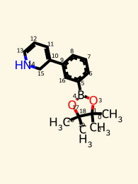 CC1(C)OB(c2cccc(C3=CC=CNC3)c2)OC1(C)C